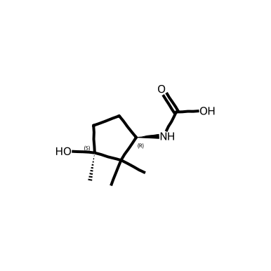 CC1(C)[C@H](NC(=O)O)CC[C@]1(C)O